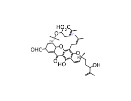 C=C(C)C(O)CC[C@]1(C)C=Cc2c(O)c3c(c(CC=C(C)C)c2O1)OC1C(=CC(C=O)C[C@@H]1C(C)(C)OC(C)C/C=C(/C)C(=O)O)C3=O